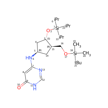 CC(C)[Si](O[C@H]1C[C@H](Nc2cc(=O)[nH]cn2)C[C@@H]1CO[Si](C)(C)C(C)(C)C)(C(C)C)C(C)C